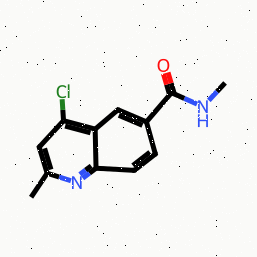 CNC(=O)c1ccc2nc(C)cc(Cl)c2c1